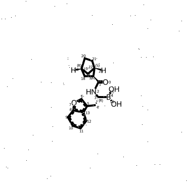 O=C(N[C@@H](Cc1coc2ccccc12)B(O)O)[C@H]1C[C@@H]2CC[C@H]1C2